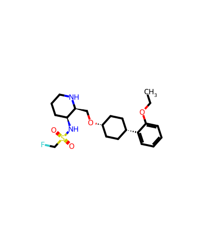 CCOc1ccccc1[C@H]1CC[C@@H](OC[C@@H]2NCCC[C@@H]2NS(=O)(=O)CF)CC1